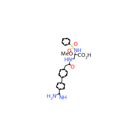 CO[C@](CNC(=O)Cc1ccc(-c2ccc(C(=N)N)cc2)cc1)(NS(=O)(=O)c1ccccc1)C(=O)O